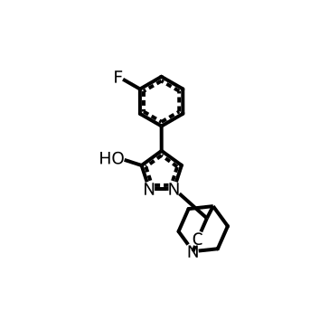 Oc1nn(C2CN3CCC2CC3)cc1-c1cccc(F)c1